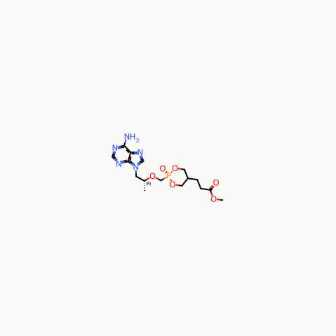 COC(=O)CCC1COP(=O)(CO[C@H](C)Cn2cnc3c(N)ncnc32)OC1